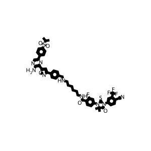 CC(C)S(=O)(=O)c1ccc(-c2cnc(N)c(-c3cc(-c4ccc(CNCCCCCCNC(=O)c5ccc(N6C(=S)N(c7ccc(C#N)c(C(F)(F)F)c7)C(=O)C6(C)C)cc5F)cc4)no3)n2)cc1